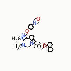 CCOC(=O)c1c(CCCOc2cccc3ccccc23)c2cccc3c2n1CCCN(C)Cc1c-3c(COc2ccc(N3CCOCC3)cc2)nn1C